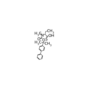 CCC(C(O)=S)N(C)C(=O)OC(C)(C)c1ccc(-c2ccccc2)cc1